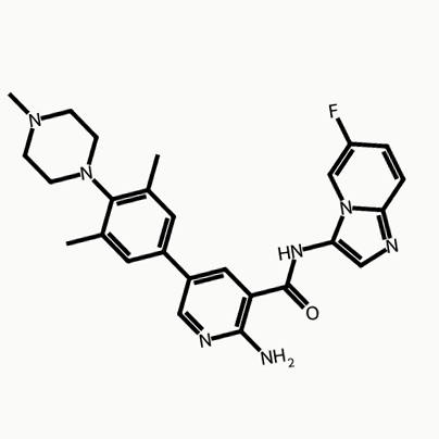 Cc1cc(-c2cnc(N)c(C(=O)Nc3cnc4ccc(F)cn34)c2)cc(C)c1N1CCN(C)CC1